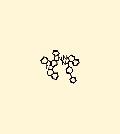 c1ccc(-c2ccc(-c3nc(-n4c5ccccc5c5c6c7ccccc7n7c8ccc9ccccc9c8c(cc54)c67)nc4ccc5ccccc5c34)cc2)cc1